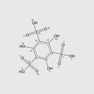 O=S(=O)(O)c1c(O)c(S(=O)(=O)O)c(O)c(S(=O)(=O)O)c1O